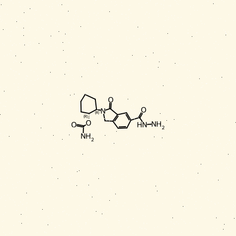 NNC(=O)c1ccc2c(c1)C(=O)N([C@@H]1CCCC[C@H]1OC(N)=O)C2